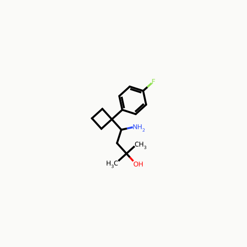 CC(C)(O)CC(N)C1(c2ccc(F)cc2)CCC1